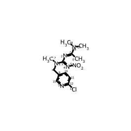 CC(=NC(=N[N+](=O)[O-])N(C)Cc1ccc(Cl)nc1)N(C)C